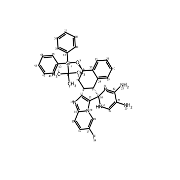 CC(C)(C)[Si](O[C@@H]1CC[C@@H](C2(c3cnc4ccc(F)cn34)N=C(N)C(N)=CN2)c2ccccc21)(c1ccccc1)c1ccccc1